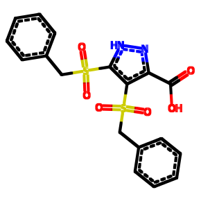 O=C(O)c1n[nH]c(S(=O)(=O)Cc2ccccc2)c1S(=O)(=O)Cc1ccccc1